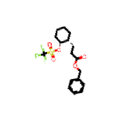 O=C(CC[C@H]1CCCC[C@H]1OS(=O)(=O)C(F)(F)F)OCc1ccccc1